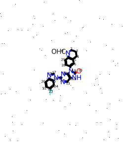 O=CN1CCCc2cc(-n3c(=O)[nH]c4cnc(-n5cnc6ccc(F)cc65)nc43)ccc21